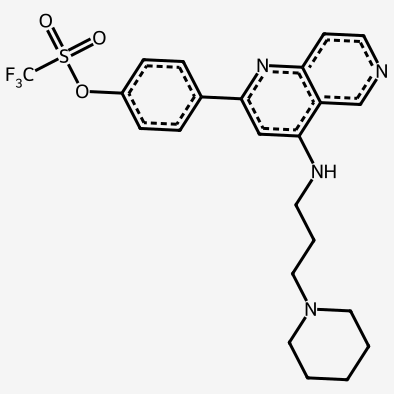 O=S(=O)(Oc1ccc(-c2cc(NCCCN3CCCCC3)c3cnccc3n2)cc1)C(F)(F)F